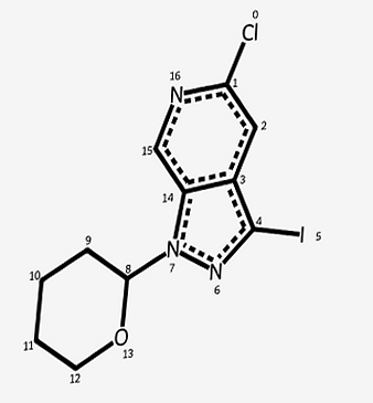 Clc1cc2c(I)nn(C3CCCCO3)c2cn1